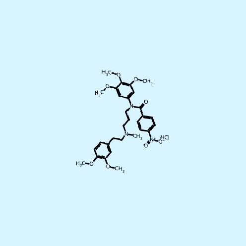 COc1ccc(CCN(C)CCCN(C(=O)c2ccc([N+](=O)[O-])cc2)c2cc(OC)c(OC)c(OC)c2)cc1OC.Cl